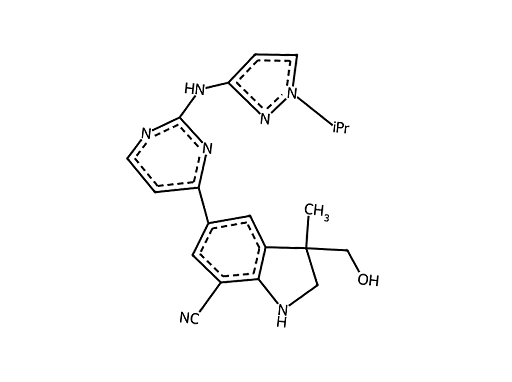 CC(C)n1ccc(Nc2nccc(-c3cc(C#N)c4c(c3)C(C)(CO)CN4)n2)n1